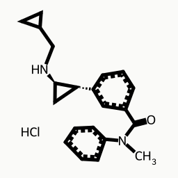 CN(C(=O)c1cccc([C@@H]2C[C@H]2NCC2CC2)c1)c1ccccc1.Cl